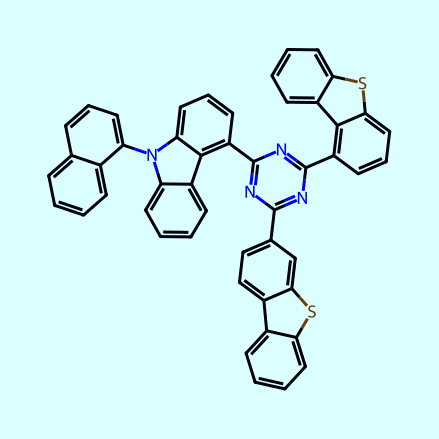 c1ccc2c(-n3c4ccccc4c4c(-c5nc(-c6ccc7c(c6)sc6ccccc67)nc(-c6cccc7sc8ccccc8c67)n5)cccc43)cccc2c1